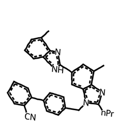 CCCc1nc2c(C)cc(-c3nc4c(C)cccc4[nH]3)cc2n1Cc1ccc(-c2ccccc2C#N)cc1